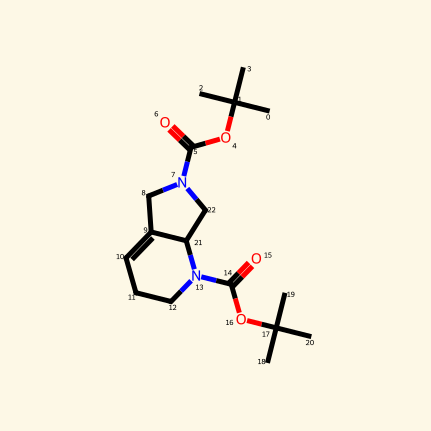 CC(C)(C)OC(=O)N1CC2=CCCN(C(=O)OC(C)(C)C)C2C1